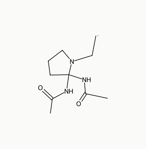 [CH2]CN1CCCC1(NC(C)=O)NC(C)=O